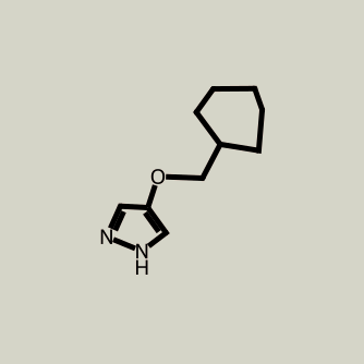 c1n[nH]cc1OCC1CCCCC1